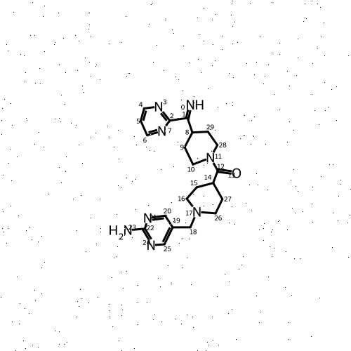 N=C(c1ncccn1)C1CCN(C(=O)C2CCN(Cc3cnc(N)nc3)CC2)CC1